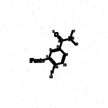 CCCC(C)c1cc(C(=O)N(C)C)ccc1F